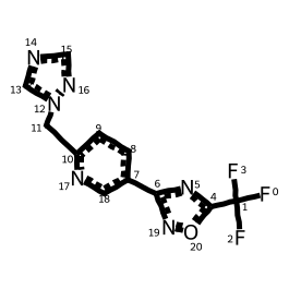 FC(F)(F)c1nc(-c2ccc(Cn3cncn3)nc2)no1